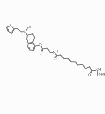 CCCCCCCNC(=O)CCCCCCCCCC(=O)NCCC(=O)Oc1cccc2c1CCC(N(CCC)CCc1cccs1)C2